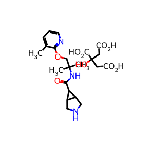 Cc1cccnc1OCC(C)(C)NC(=O)C1C2CNCC21.O=C(O)CC(O)(CC(=O)O)C(=O)O